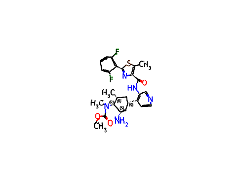 COC(=O)N(C)[C@@H]1[C@H](C)C[C@H](c2ccncc2NC(=O)c2nc(-c3c(F)cccc3F)sc2C)C[C@@H]1N